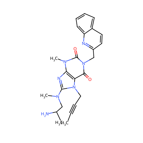 CC#CCn1c(N(C)CC(C)N)nc2c1c(=O)n(Cc1ccc3ccccc3n1)c(=O)n2C